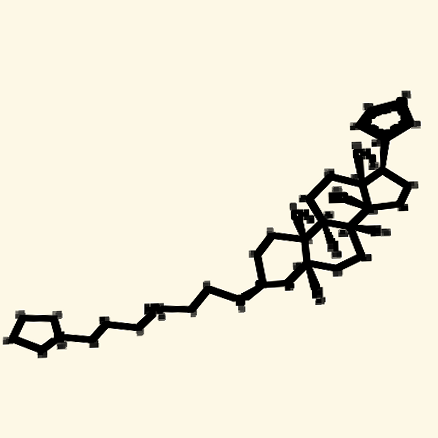 C[C@]12CC[C@H](SCCNCCCN3CCCC3)C[C@H]1CC[C@@H]1[C@@H]2CC[C@]2(C)[C@@H](c3ccoc3)CC[C@]12O